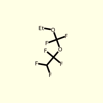 CCOC(F)(F)OC(F)(F)C(F)F